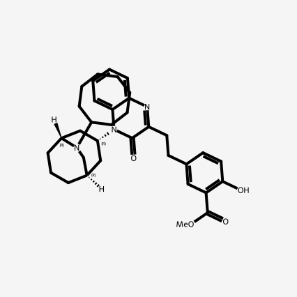 COC(=O)c1cc(CCc2nc3ccccc3n([C@@H]3C[C@H]4CCC[C@H](C3)N(C3CCCCCCC3)C4)c2=O)ccc1O